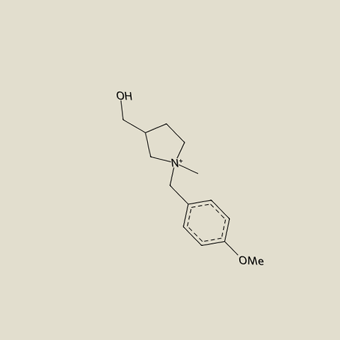 COc1ccc(C[N+]2(C)CCC(CO)C2)cc1